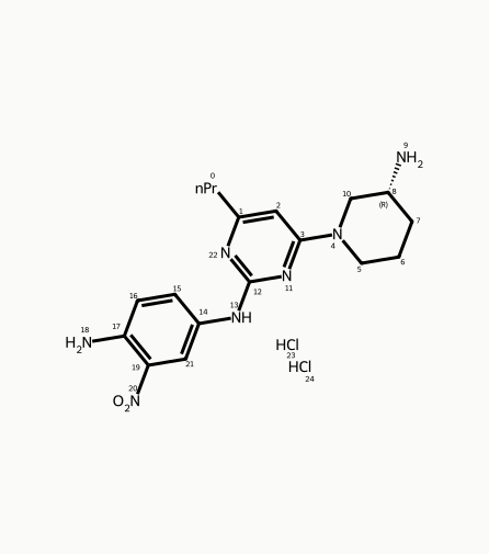 CCCc1cc(N2CCC[C@@H](N)C2)nc(Nc2ccc(N)c([N+](=O)[O-])c2)n1.Cl.Cl